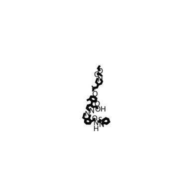 CCOC(=O)CN1CCC(C[C@H](C)COc2ccc(-c3ccc(N4CCc5cccc(C(=O)Nc6nc7ccccc7s6)c5C4)nc3C(=O)O)c(C)c2)CC1